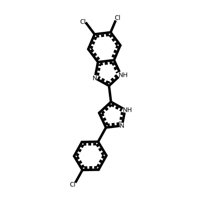 Clc1ccc(-c2cc(-c3nc4cc(Cl)c(Cl)cc4[nH]3)[nH]n2)cc1